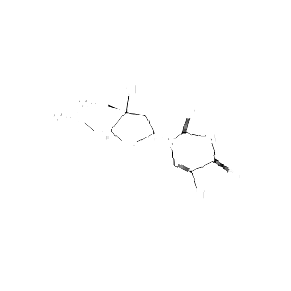 COC[C@H]1O[C@@H](n2cc(C)c(=O)[nH]c2=O)C[C@]1(C)OC